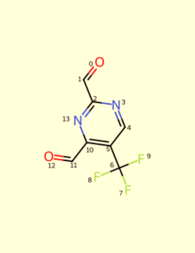 O=Cc1ncc(C(F)(F)F)c(C=O)n1